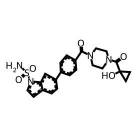 NS(=O)(=O)n1ccc2ccc(-c3ccc(C(=O)N4CCN(C(=O)C5(O)CC5)CC4)cc3)cc21